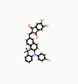 CC1(C)c2ccccc2N(c2ccc(F)cc2)c2ccc3cc(C=C4C(=O)c5cc(Cl)c(Cl)cc5C4=O)ccc3c21